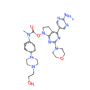 CN(C(=O)ON1CCc2c(-c3cnc(N)nc3)nc(N3CCOCC3)nc21)c1ccc(N2CCN(CCO)CC2)cc1